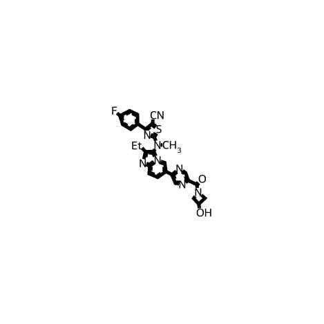 CCc1nc2ccc(-c3cnc(C(=O)N4CC(O)C4)cn3)cn2c1N(C)c1nc(-c2ccc(F)cc2)c(C#N)s1